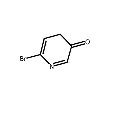 O=C1[C]=NC(Br)=CC1